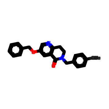 COc1ccc(CN2CCc3ncc(OCc4ccccc4)cc3C2=O)cc1